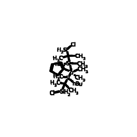 CCCC[Si](C)(C(C)(C)[SiH2]Cl)[Zr]([CH3])([CH3])([C]1=CC=CC1)[Si](C)(CCCC)C(C)(C)[SiH2]Cl